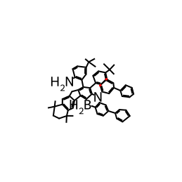 Bc1ccc(-c2ccccc2)cc1N(c1cccc(-c2ccccc2)c1)c1cc2c(c(-c3cc(C(C)(C)C)ccc3N)c1-c1ccc(C(C)(C)C)cc1)Cc1cc3c(cc1-2)C(C)(C)CCC3(C)C